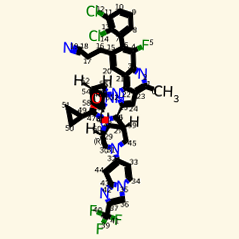 Cc1nc2c(F)c(-c3cccc(Cl)c3Cl)c(CCC#N)cc2c2c1cc([C@H]1[C@H]3C[C@H](CN(c4ccn5cc(C(F)(F)F)nc5c4)C3)N1C(=O)C1CC1)n2[C@H]1[C@H]2CN[C@@H]1C2